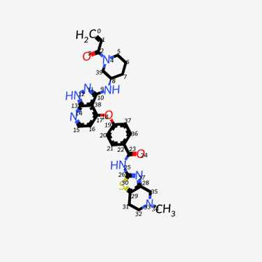 C=CC(=O)N1CCC[C@@H](Nc2n[nH]c3nccc(Oc4ccc(C(=O)Nc5nc6c(s5)CCN(C)C6)cc4)c23)C1